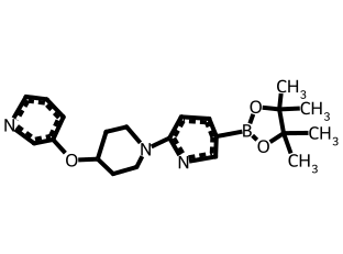 CC1(C)OB(c2ccc(N3CCC(Oc4cccnc4)CC3)nc2)OC1(C)C